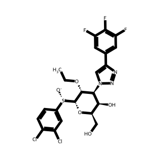 CCO[C@@H]1[C@@H](n2cc(-c3cc(F)c(F)c(F)c3)nn2)[C@@H](O)[C@@H](CO)O[C@@H]1[S@@+]([O-])c1ccc(Cl)c(Cl)c1